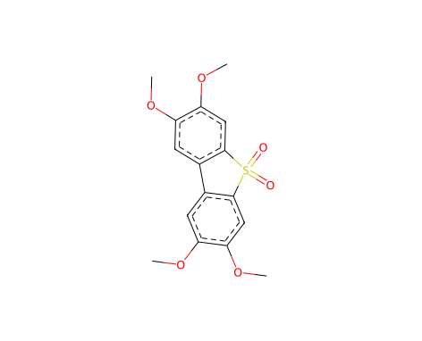 COc1cc2c(cc1OC)S(=O)(=O)c1cc(OC)c(OC)cc1-2